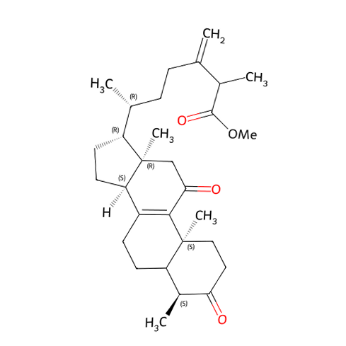 C=C(CC[C@@H](C)[C@H]1CC[C@@H]2C3=C(C(=O)C[C@@]21C)[C@@]1(C)CCC(=O)[C@@H](C)C1CC3)C(C)C(=O)OC